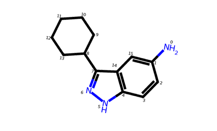 Nc1ccc2[nH]nc(C3CCCCC3)c2c1